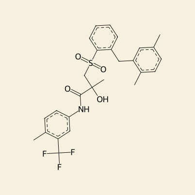 Cc1ccc(C)c(Cc2ccccc2S(=O)(=O)CC(C)(O)C(=O)Nc2ccc(C)c(C(F)(F)F)c2)c1